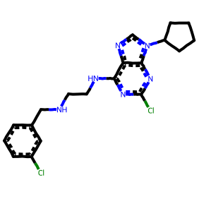 Clc1cccc(CNCCNc2nc(Cl)nc3c2ncn3C2CCCC2)c1